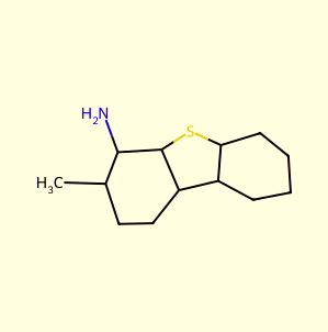 CC1CCC2C3CCCCC3SC2C1N